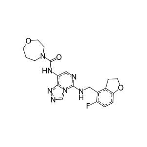 O=C(Nc1cnc(NCc2c(F)ccc3c2CCO3)n2cnnc12)N1CCCOCC1